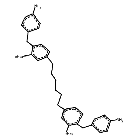 CCCCCCc1cc(CCCCCCc2ccc(Cc3ccc(N)cc3)c(CCCCCC)c2)ccc1Cc1ccc(N)cc1